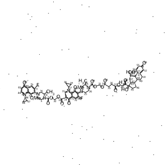 COc1c(N2CCN(C(=O)OCOC(=O)c3cn(C4CC4)c4c(OC)c(N5CCN(C(=O)OCOC(=O)CCC(=O)OCC(=O)[C@@]6(O)CCC7C8CCC9=CC(=O)C=C[C@]9(C)C8[C@@H](O)C[C@@]76C)C(C)C5)c(F)cc4c3=O)C(C)C2)c(F)cc2c(=O)ccn(C3CC3)c12